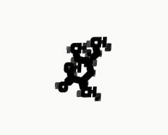 C=C(CN(CC)CC)C(=O)O